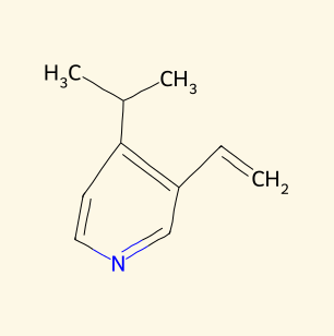 C=Cc1cnccc1C(C)C